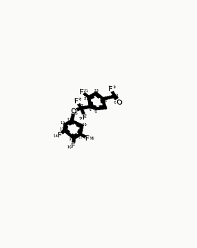 O=C(F)c1ccc(C(F)(F)Oc2cc(F)c(F)c(F)c2)c(F)c1